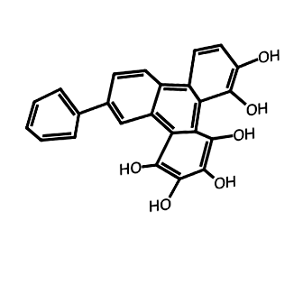 Oc1ccc2c3ccc(-c4ccccc4)cc3c3c(O)c(O)c(O)c(O)c3c2c1O